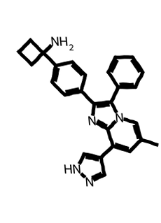 Cc1cc(-c2cn[nH]c2)c2nc(-c3ccc(C4(N)CCC4)cc3)c(-c3ccccc3)n2c1